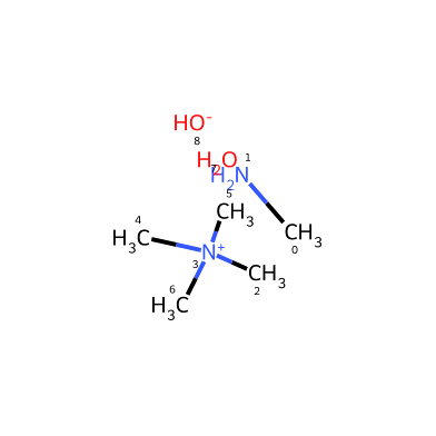 CN.C[N+](C)(C)C.O.[OH-]